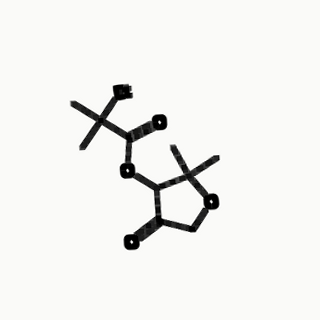 CCC(C)(C)C(=O)OC1C(=O)COC1(C)C